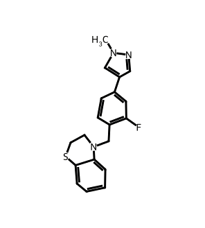 Cn1cc(-c2ccc(CN3CCSc4ccccc43)c(F)c2)cn1